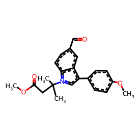 COC(=O)CC(C)(C)n1cc(-c2ccc(OC)cc2)c2cc(C=O)ccc21